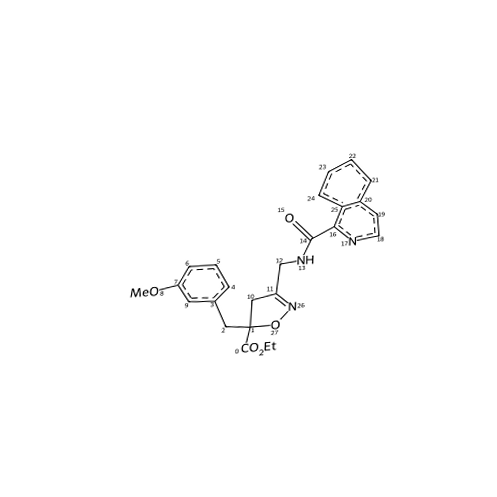 CCOC(=O)C1(Cc2cccc(OC)c2)CC(CNC(=O)c2nccc3ccccc23)=NO1